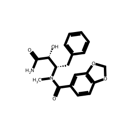 CN(C(=O)c1ccc2c(c1)OCO2)[C@@H](Cc1ccccc1)[C@@H](O)C(N)=O